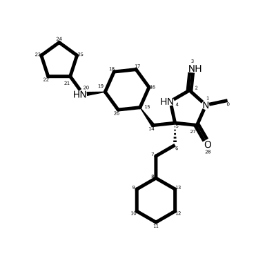 CN1C(=N)N[C@](CCC2CCCCC2)(C[C@@H]2CCC[C@H](NC3CCCC3)C2)C1=O